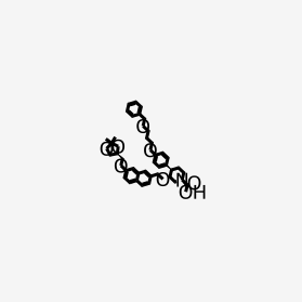 CC1(C)OC[C@H](COc2ccc3ccc(CO[C@H]4CN(C(=O)O)CC[C@@H]4c4ccc(OCCCOCc5ccccc5)cc4)cc3c2)O1